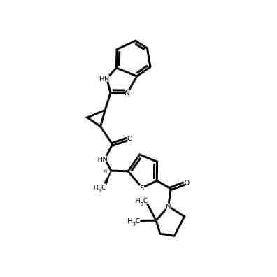 C[C@@H](NC(=O)C1CC1c1nc2ccccc2[nH]1)c1ccc(C(=O)N2CCCC2(C)C)s1